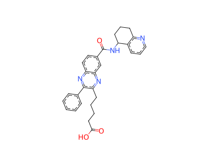 O=C(O)CCCCc1nc2cc(C(=O)NC3CCCc4ncccc43)ccc2nc1-c1ccccc1